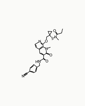 CCC(=O)N(C)SC1(COc2nccc3cc(C(=O)NCc4ccc(C#N)cc4)c(=O)n(C)c23)CC1